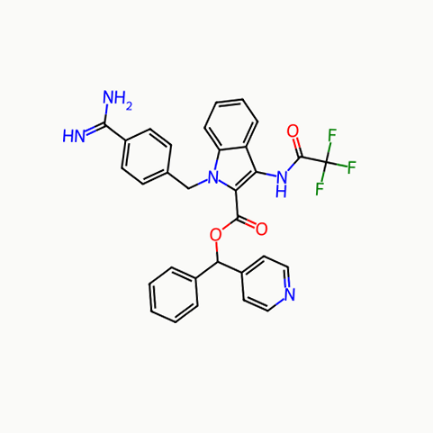 N=C(N)c1ccc(Cn2c(C(=O)OC(c3ccccc3)c3ccncc3)c(NC(=O)C(F)(F)F)c3ccccc32)cc1